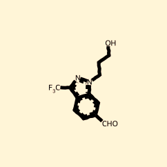 O=Cc1ccc2c(C(F)(F)F)nn(CCCO)c2c1